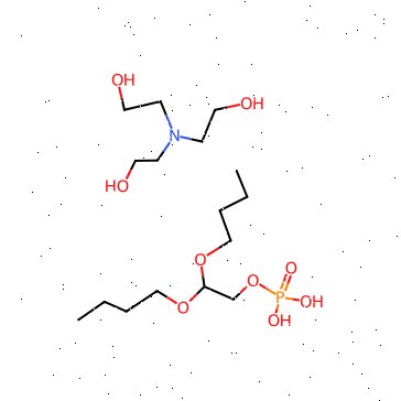 CCCCOC(COP(=O)(O)O)OCCCC.OCCN(CCO)CCO